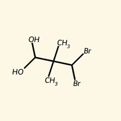 CC(C)([C](O)O)C(Br)Br